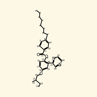 CCCCCCCCc1ccc(C(=O)Oc2ccc(OCC(C)CC)cc2-c2cnccn2)cc1